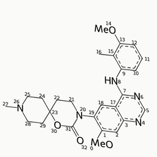 COc1cc2ncnc(Nc3cccc(OC)c3C)c2cc1N1CCC2(CCN(C)CC2)OC1=O